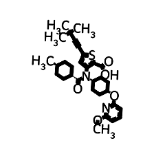 COc1cccc(O[C@H]2CC[C@H](N(c3cc(C#CC(C)(C)C)sc3C(=O)O)C(=O)[C@H]3CC[C@H](C)CC3)CC2)n1